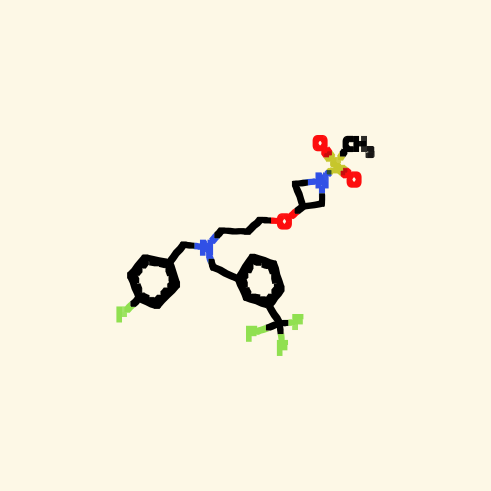 CS(=O)(=O)N1CC(OCCCN(Cc2ccc(F)cc2)Cc2cccc(C(F)(F)F)c2)C1